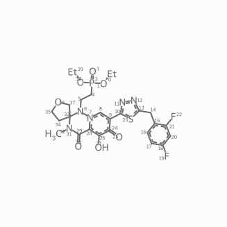 CCOP(=O)(CCN1n2cc(-c3nnc(Cc4ccc(F)cc4F)s3)c(=O)c(O)c2C(=O)N(C)C12CCOC2)OCC